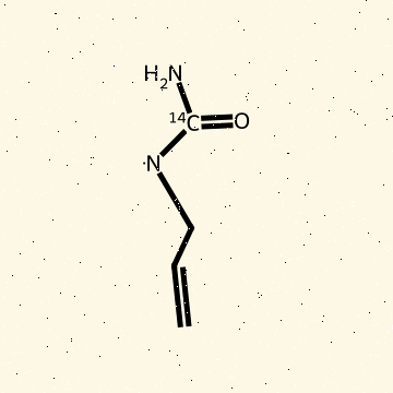 C=CC[N][14C](N)=O